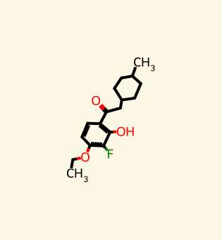 CCOc1ccc(C(=O)CC2CCC(C)CC2)c(O)c1F